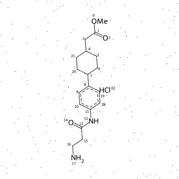 COC(=O)CC1CCC(c2ccc(NC(=O)CCN)cc2)CC1.Cl